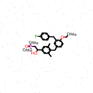 COCOc1ccc(Cc2c(C)cc(C(O)CP(=O)(OC)OC)cc2C)cc1Cc1ccc(F)cc1